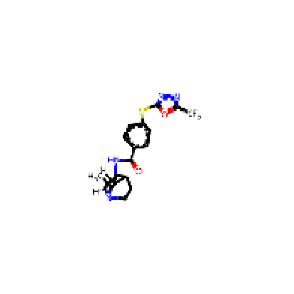 C[C@H]1[C@H](NC(=O)c2ccc(Sc3nnc(C(F)(F)F)o3)cc2)C2CCN1CC2